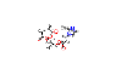 C=CC(=O)OCC(CC)(COC(=O)C=C)COC(=O)CCn1ccnc1CC